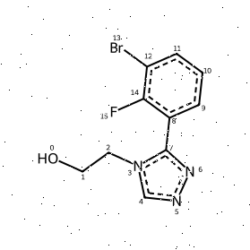 OCCn1cnnc1-c1cccc(Br)c1F